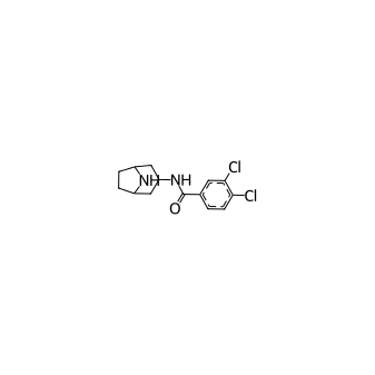 O=C(NC1CC2CCC(C1)N2)c1ccc(Cl)c(Cl)c1